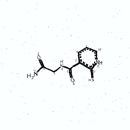 NC(=O)CNC(=O)c1ccc[nH]c1=S